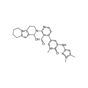 Cc1cc(Nc2cc(-c3ccnc(N4CCc5c(cc6n5CCCC6)C4O)c3C=O)cn(C)c2=O)nn1C